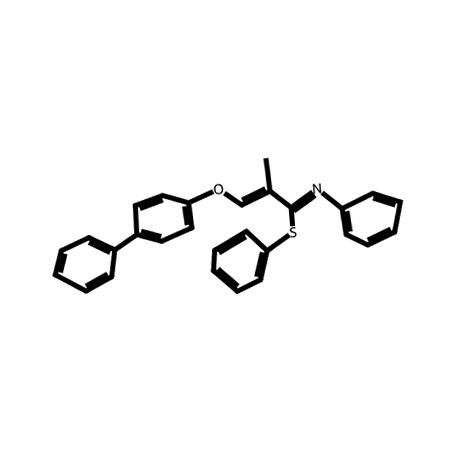 CC(=C\Oc1ccc(-c2ccccc2)cc1)/C(=N/c1ccccc1)Sc1ccccc1